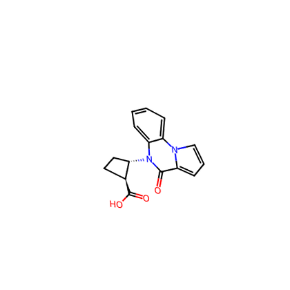 O=C(O)[C@H]1CC[C@@H]1n1c(=O)c2cccn2c2ccccc21